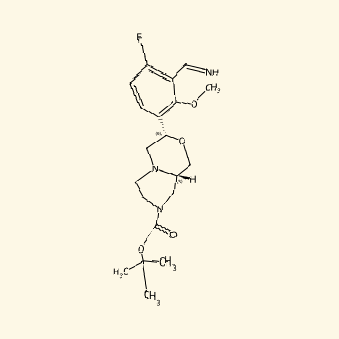 COc1c([C@H]2CN3CCN(C(=O)OC(C)(C)C)C[C@H]3CO2)ccc(F)c1C=N